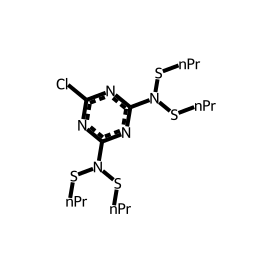 CCCSN(SCCC)c1nc(Cl)nc(N(SCCC)SCCC)n1